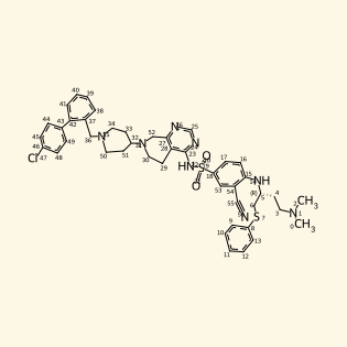 CN(C)CC[C@H](CSc1ccccc1)Nc1ccc(S(=O)(=O)Nc2ncnc3c2CCN(C2CCN(Cc4ccccc4-c4ccc(Cl)cc4)CC2)C3)cc1C#N